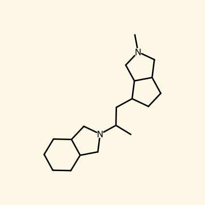 CC(CC1CCC2CN(C)CC12)N1CC2CCCCC2C1